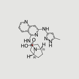 Cc1cc(Nc2cc3ncccc3c(N[C@H]3C[C@H]4CC[C@@H](C3)N4C(=O)O)n2)n[nH]1